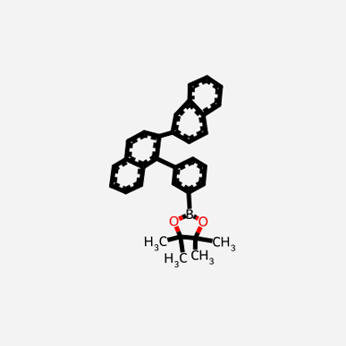 CC1(C)OB(c2cccc(-c3c(-c4ccc5ccccc5c4)ccc4ccccc34)c2)OC1(C)C